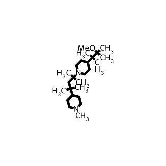 COC(C)(C)C(C)(C)C1CCN(C(C)(C)CC(C)(C)C2CCN(C)CC2)CC1